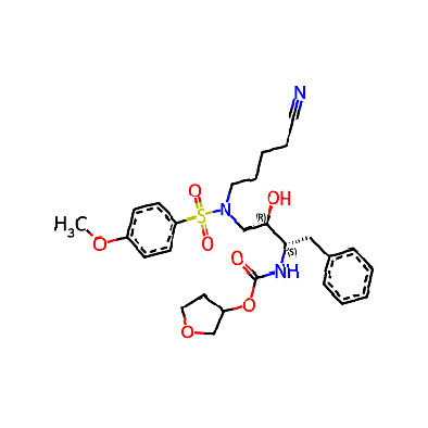 COc1ccc(S(=O)(=O)N(CCCCC#N)C[C@@H](O)[C@H](Cc2ccccc2)NC(=O)OC2CCOC2)cc1